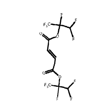 O=C(C=CC(=O)OC(F)(C(F)F)C(F)(F)F)OC(F)(C(F)F)C(F)(F)F